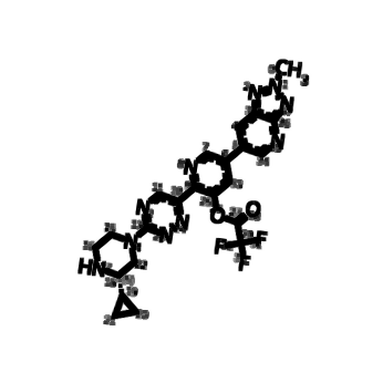 Cn1nc2cc(-c3cnc(-c4cnc(N5CCN[C@@H](C6CC6)C5)nn4)c(OC(=O)C(F)(F)F)c3)cnc2n1